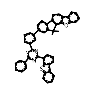 CC1(C)c2cc(-c3cccc(-c4nc(-c5ccccc5)nc(-c5cccc6c5sc5ccccc56)n4)c3)ccc2-c2ccc3c(oc4ccccc43)c21